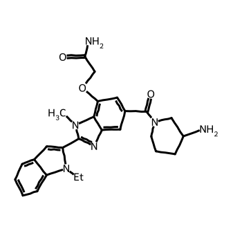 CCn1c(-c2nc3cc(C(=O)N4CCCC(N)C4)cc(OCC(N)=O)c3n2C)cc2ccccc21